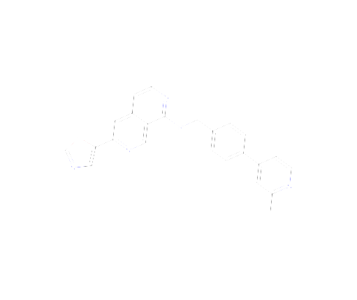 Cc1cc(-c2ccc(CNc3nccc4cc(-c5cnco5)ncc34)cc2)ccn1